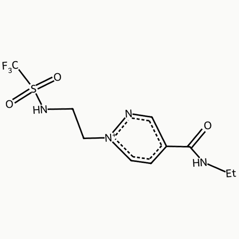 CCNC(=O)c1cc[n+](CCNS(=O)(=O)C(F)(F)F)nc1